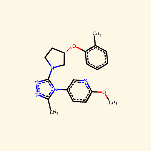 COc1ccc(-n2c(C)nnc2N2CC[C@H](Oc3ccccc3C)C2)cn1